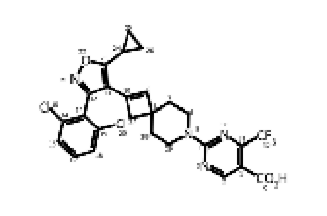 O=C(O)c1cnc(N2CCC3(C=C(c4c(-c5c(Cl)cccc5Cl)noc4C4CC4)C3)CC2)nc1C(F)(F)F